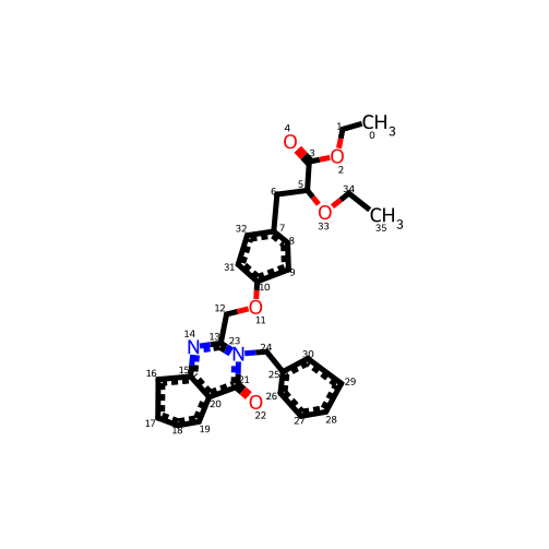 CCOC(=O)C(Cc1ccc(OCc2nc3ccccc3c(=O)n2Cc2ccccc2)cc1)OCC